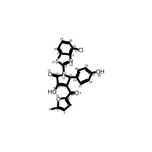 Cc1ccc(C(=O)C2=C(O)C(=O)N(c3nc4c(Cl)cccc4s3)C2c2ccc(O)cc2)o1